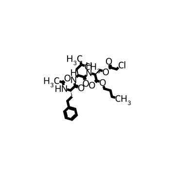 CCCCOC(=O)[C@H](COC(=O)CCl)NC(=O)[C@H](CC(C)C)NC(=O)[C@H](CCc1ccccc1)NC(C)=O